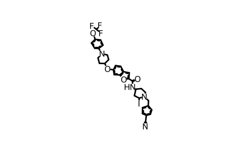 N#Cc1ccc(CN2CCC(NC(=O)c3cc4ccc(OC5CCN(c6ccc(OC(F)(F)F)cc6)CC5)cc4o3)CC2I)cc1